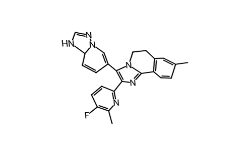 Cc1ccc2c(c1)CCn1c-2nc(-c2ccc(F)c(C)n2)c1C1=CN2N=CNC2C=C1